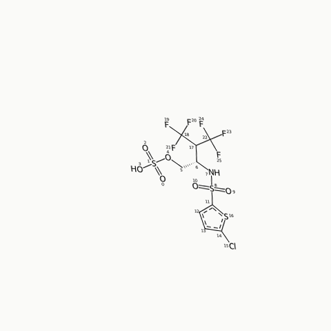 O=S(=O)(O)OC[C@@H](NS(=O)(=O)c1ccc(Cl)s1)C(C(F)(F)F)C(F)(F)F